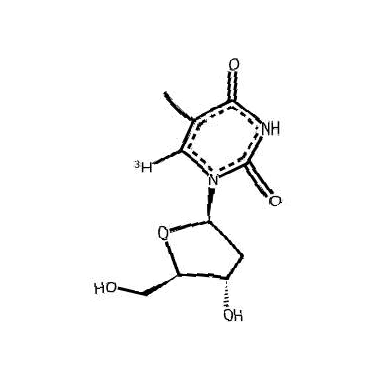 [3H]c1c(C)c(=O)[nH]c(=O)n1[C@H]1C[C@H](O)[C@@H](CO)O1